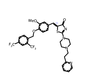 COc1cc(/C=C2\SC(N3CCN(CCc4ccccn4)CC3)=NC2=O)ccc1OCc1ccc(C(F)(F)F)cc1C(F)(F)F